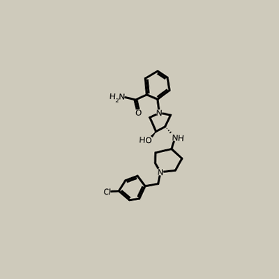 NC(=O)c1ccccc1N1C[C@H](NC2CCN(Cc3ccc(Cl)cc3)CC2)[C@@H](O)C1